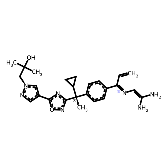 C=C/C(=N\C=C(N)N)c1ccc([C@](C)(c2noc(-c3cnn(CC(C)(C)O)c3)n2)C2CC2)cc1